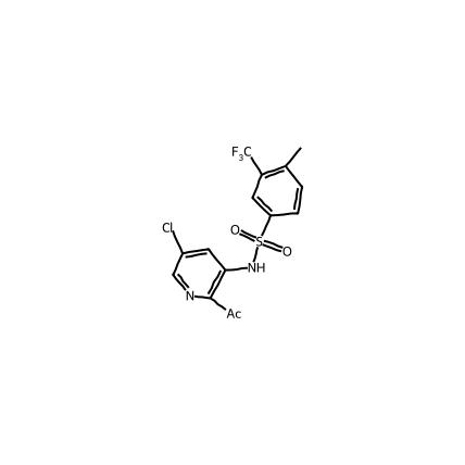 CC(=O)c1ncc(Cl)cc1NS(=O)(=O)c1ccc(C)c(C(F)(F)F)c1